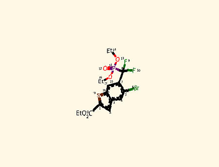 CCOC(=O)c1cc2cc(Br)c(C(F)(F)P(=O)(OCC)OCC)cc2s1